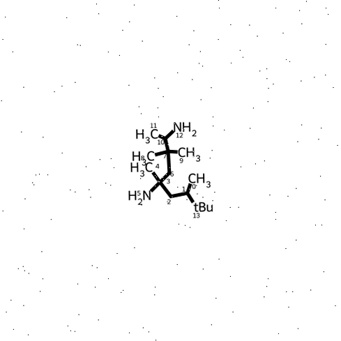 CC(CC(C)(N)CC(C)(C)C(C)N)C(C)(C)C